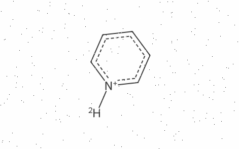 [2H][n+]1ccccc1